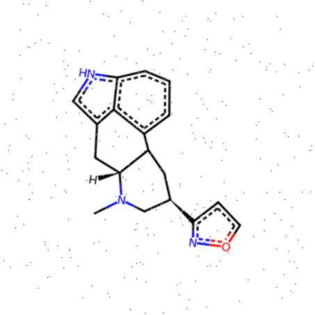 CN1C[C@H](c2ccon2)CC2c3cccc4[nH]cc(c34)C[C@H]21